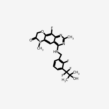 Cc1nc(NCc2cccc(C(F)(F)C(C)(C)O)c2F)c2cc3c(c(F)c2n1)OCC(=O)N3C